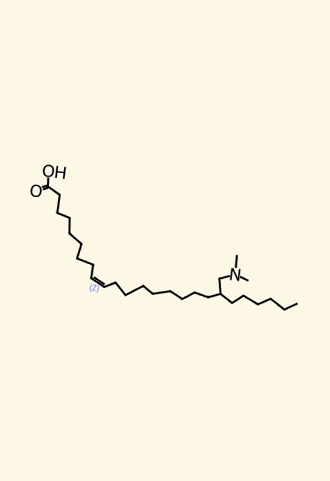 CCCCCCC(CCCCCCCC/C=C\CCCCCCCC(=O)O)CN(C)C